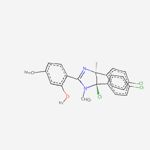 COc1ccc(C2=N[C@@](C)(c3ccc(Cl)cc3)[C@](Cl)(c3ccc(Cl)cc3)N2[C]=O)c(OC(C)C)c1